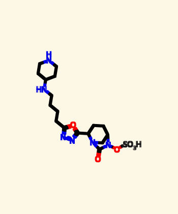 O=C1N2CC(CCC2c2nnc(CCCCNC3CCNCC3)o2)N1OS(=O)(=O)O